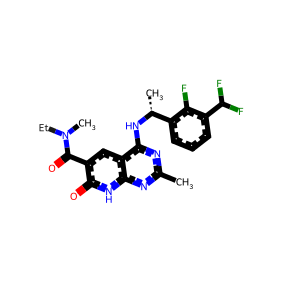 CCN(C)C(=O)c1cc2c(N[C@H](C)c3cccc(C(F)F)c3F)nc(C)nc2[nH]c1=O